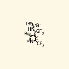 CC(C)(C)[S@@+]([O-])N[C@H](c1cc(C(F)(F)F)ncc1Br)C(F)(F)F